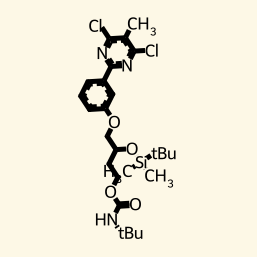 Cc1c(Cl)nc(-c2cccc(OCC(CCOC(=O)NC(C)(C)C)O[Si](C)(C)C(C)(C)C)c2)nc1Cl